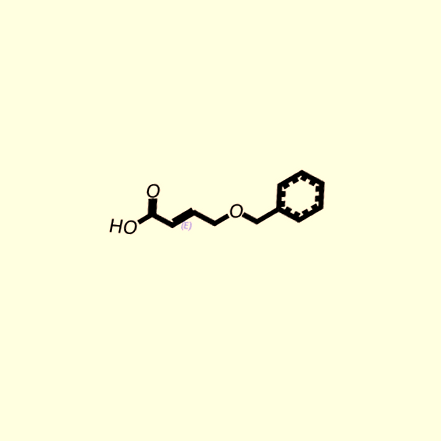 O=C(O)/C=C/COCc1ccccc1